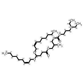 [CH2]C(COC(=O)CCC(OC/C=C\CCCCCC)OC/C=C\CCCCCC)COC(=O)OCCCN(CC)CC